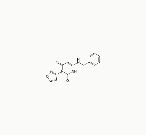 O=c1cc(NCc2ccccc2)[nH]c(=O)n1-c1ccon1